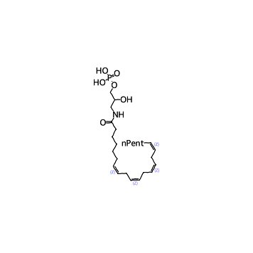 CCCCC/C=C\C/C=C\C/C=C\C/C=C\CCCCCC(=O)NCC(O)COP(=O)(O)O